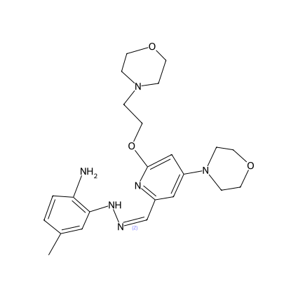 Cc1ccc(N)c(N/N=C\c2cc(N3CCOCC3)cc(OCCN3CCOCC3)n2)c1